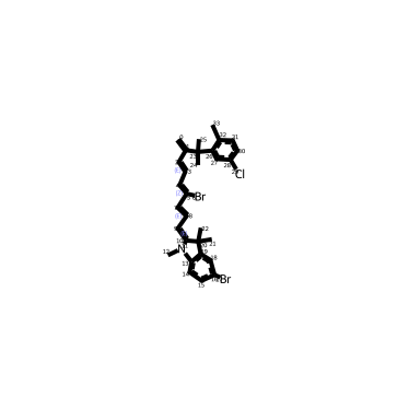 C=C(/C=C/C=C(Br)/C=C/C=C1/N(C)c2ccc(Br)cc2C1(C)C)C(C)(C)c1cc(Cl)ccc1C